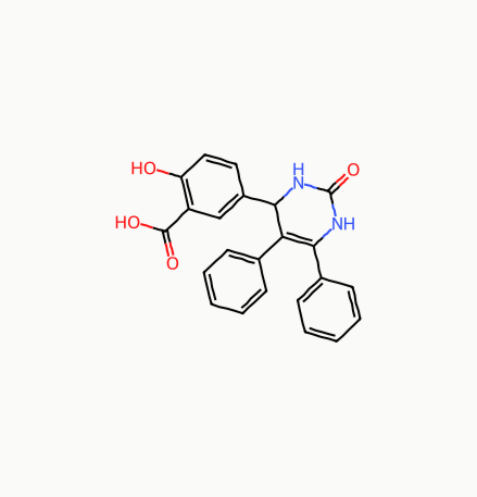 O=C1NC(c2ccccc2)=C(c2ccccc2)C(c2ccc(O)c(C(=O)O)c2)N1